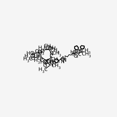 CC[C@H]1OC(=O)[C@H](C)[C@@H](O[C@H]2C[C@@](C)(OC)[C@@H](O)[C@H](C)O2)[C@H](C)[C@@H](O[C@@H]2O[C@H](C)C[C@H](N(C)Cc3ccc(-c4cn(CCCCCC(=O)NO[Si](c5ccccc5)(c5ccccc5)C(C)(C)C)nn4)cc3)[C@H]2O)[C@](C)(O)C[C@@H](C)CN(C)[C@H](C)[C@@H](O)[C@]1(C)O